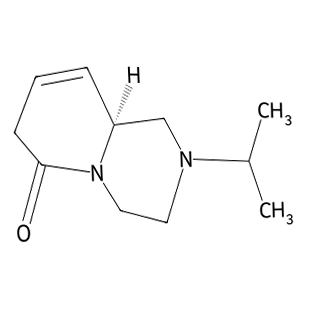 CC(C)N1CCN2C(=O)CC=C[C@H]2C1